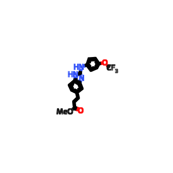 COC(=O)CCc1ccc2[nH]c(Nc3ccc(OC(F)(F)F)cc3)nc2c1